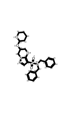 O=S(=O)(c1cnn2c1OCC(OC1CCCCO1)C2)N(Cc1ccccc1)Cc1ccccc1